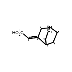 O=C(O)/C=C1\CN2CCC1CC2